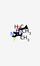 C[C@H]1CN(C(=O)C(C)(C)C2CC2)[C@@H]2c3cncc(F)c3C21